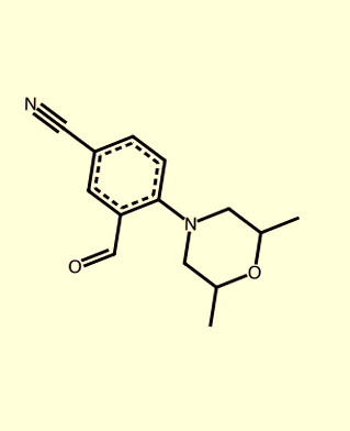 CC1CN(c2ccc(C#N)cc2C=O)CC(C)O1